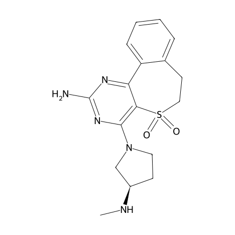 CN[C@@H]1CCN(c2nc(N)nc3c2S(=O)(=O)CCc2ccccc2-3)C1